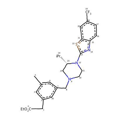 CCOC(=O)Cc1cc(C)cc(CN2CCN(c3nc4ccc(C(F)(F)F)cc4s3)[C@@H](C(C)C)C2)c1